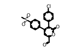 CS(=O)(=O)c1ccc(-c2cc(C=O)oc(=O)c2-c2ccc(Cl)cc2)cc1